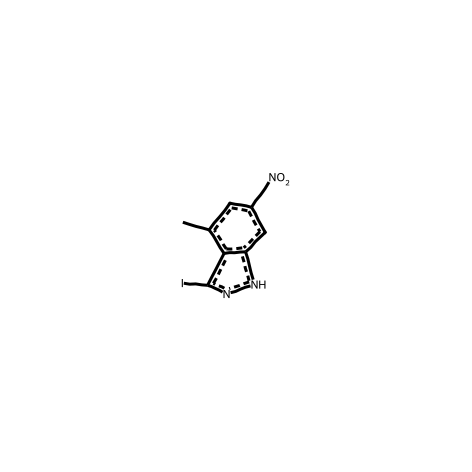 Cc1cc([N+](=O)[O-])cc2[nH]nc(I)c12